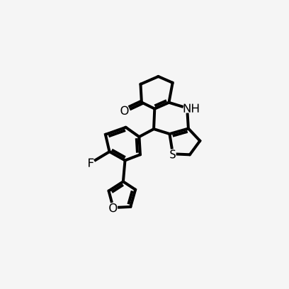 O=C1CCCC2=C1C(c1ccc(F)c(-c3ccoc3)c1)C1=C(CCS1)N2